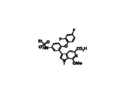 CCS(=O)(=O)Nc1ccc(Oc2ccc(F)cc2F)c(-c2cn(C)c3c(OC)nc(C(=O)O)cc23)c1